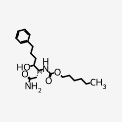 CCCCCCOC(=O)N[C@H](CC(N)=O)C(O)CCCc1ccccc1